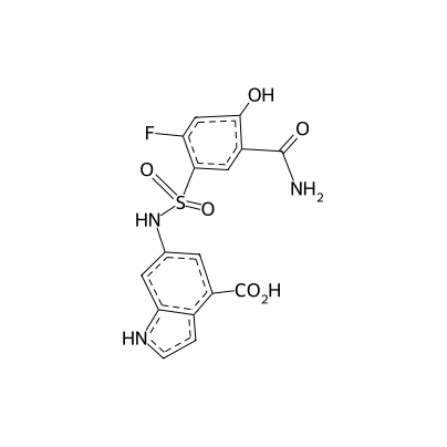 NC(=O)c1cc(S(=O)(=O)Nc2cc(C(=O)O)c3cc[nH]c3c2)c(F)cc1O